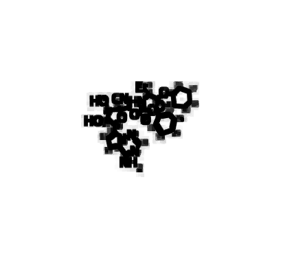 CC[C@H](NP(=O)(OC[C@@]1(C#N)O[C@@H](c2ccc3c(N)ncnn23)[C@H](O)[C@@H]1O)Oc1ccccc1)C(=O)OC1CCCCC1